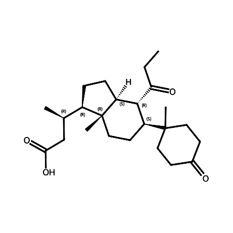 CCC(=O)[C@@H]1[C@@H](C2(C)CCC(=O)CC2)CC[C@]2(C)[C@@H]([C@H](C)CC(=O)O)CC[C@@H]12